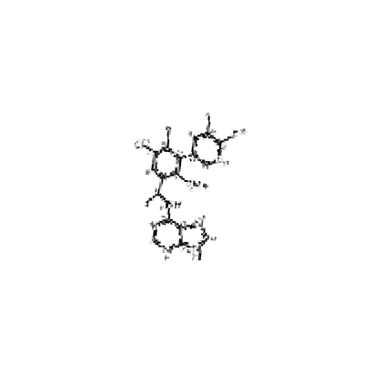 COc1c(C(C)Nc2ncnc3[nH]cnc23)cc(Cl)c(C)c1-c1cnc(F)c(C)c1